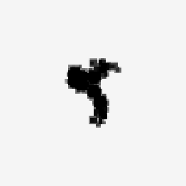 C=CC(=O)Oc1ccc(-c2ccc(N(C3=CCc4ccc5c6c(ccc3c46)CC=C5)c3ccc(OC(=O)C(=C)C)cc3)cc2)cc1